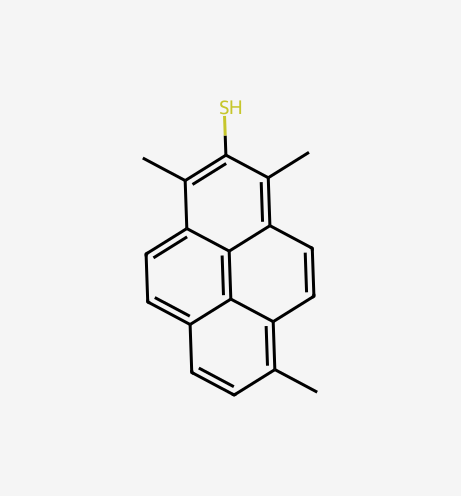 Cc1ccc2ccc3c(C)c(S)c(C)c4ccc1c2c34